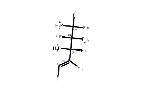 F/C=C(\F)[C@](F)(P)[C@@](F)(P)C(F)(F)P